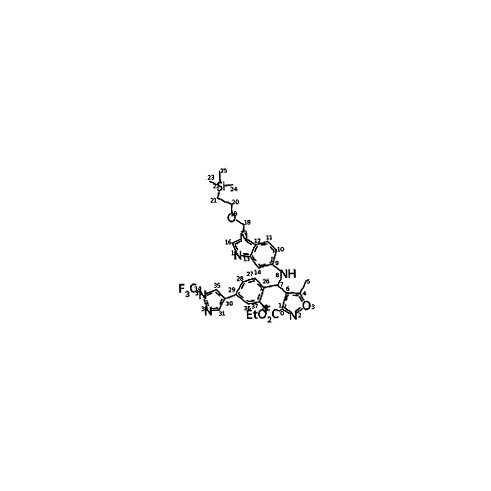 CCOC(=O)c1noc(C)c1C(Nc1ccc2c(c1)ncn2COCC[Si](C)(C)C)c1ccc(-c2cnn(C(F)(F)F)c2)cc1F